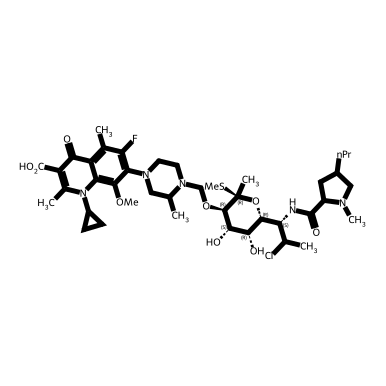 CCCC1CC(C(=O)N[C@H](C(C)Cl)[C@H]2O[C@](C)(SC)[C@H](OCN3CCN(c4c(F)c(C)c5c(=O)c(C(=O)O)c(C)n(C6CC6)c5c4OC)CC3C)[C@@H](O)[C@H]2O)N(C)C1